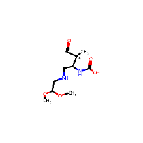 COC(CNCC(NC(=O)O)[C@H](C)C=O)OC